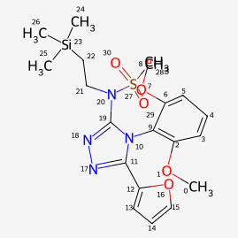 COc1cccc(OC)c1-n1c(-c2ccco2)nnc1N(CC[Si](C)(C)C)S(C)(=O)=O